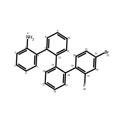 Nc1ccccc1-c1ccccc1-c1ccccc1-c1ccc(Br)cc1F